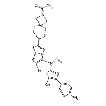 CCc1nc2sc(N3CCC4(CC3)CN(C(N)=O)C4)nn2c1N(C)c1nc(-c2ccc(P)cc2)c(C#N)s1